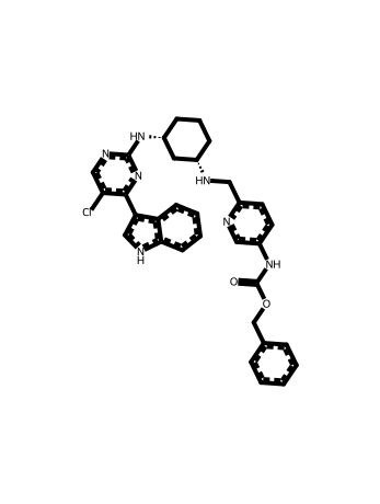 O=C(Nc1ccc(CN[C@H]2CCC[C@@H](Nc3ncc(Cl)c(-c4c[nH]c5ccccc45)n3)C2)nc1)OCc1ccccc1